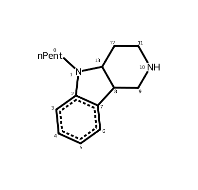 CCCCCN1c2ccccc2C2CNCCC21